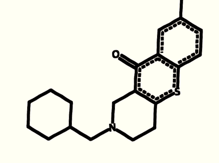 O=c1c2c(sc3ccc(F)cc13)CCN(CC1CCCCC1)C2